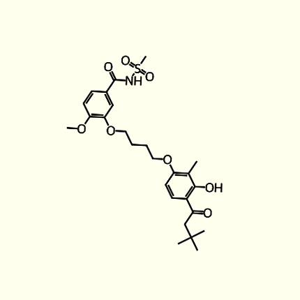 COc1ccc(C(=O)NS(C)(=O)=O)cc1OCCCCOc1ccc(C(=O)CC(C)(C)C)c(O)c1C